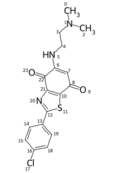 CN(C)CCNC1=CC(=O)c2sc(-c3ccc(Cl)cc3)nc2C1=O